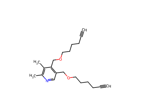 C#CCCCCOCc1cnc(C)c(C)c1COCCCCC#C